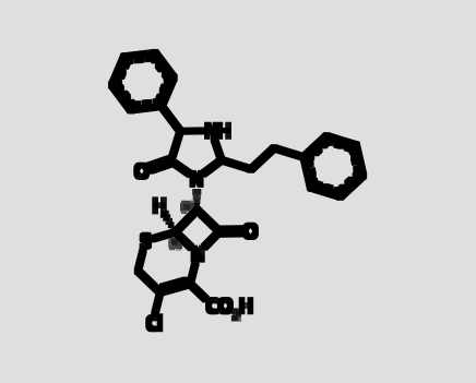 O=C(O)C1=C(Cl)CS[C@H]2[C@H](N3C(=O)C(c4ccccc4)NC3CCc3ccccc3)C(=O)N12